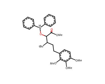 COC(=O)C(O[SiH](c1ccccc1)c1ccccc1)C(CCc1ccc(OC)c(OC)c1OC)C(C)(C)C